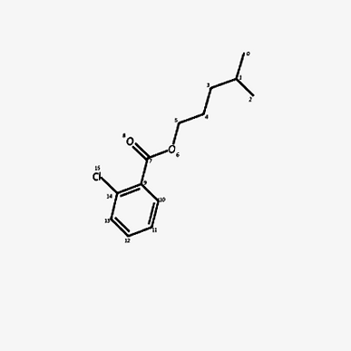 CC(C)CCCOC(=O)c1[c]cccc1Cl